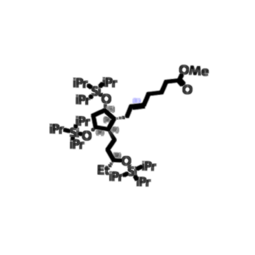 CC[C@H](CC[C@@H]1[C@@H](C/C=C/CCCC(=O)OC)[C@@H](O[Si](C(C)C)(C(C)C)C(C)C)C[C@H]1O[Si](C(C)C)(C(C)C)C(C)C)O[Si](C(C)C)(C(C)C)C(C)C